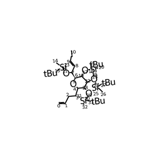 C=CCCC1O[C@@H](C(/C=C/I)O[Si](C)(C)C(C)(C)C)C(O[Si](C)(C)C(C)(C)C)C(O[Si](C)(C)C(C)(C)C)C1O[Si](C)(C)C(C)(C)C